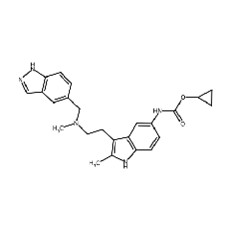 Cc1[nH]c2ccc(NC(=O)OC3CC3)cc2c1CCN(C)Cc1ccc2[nH]ncc2c1